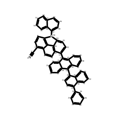 N#Cc1ccc2c3c1ccc1c(-c4c5ccccc5c(-c5ccc(-c6ccccc6)c6ccccc56)c5ccccc45)ccc(c13)n2-c1cccc2ccccc12